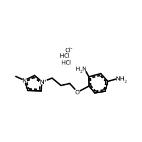 Cl.Cl.Cn1cc[n+](CCCOc2ccc(N)cc2N)c1.[Cl-]